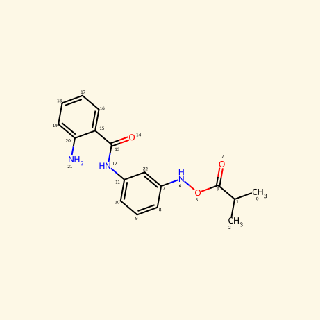 CC(C)C(=O)ONc1cccc(NC(=O)c2ccccc2N)c1